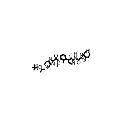 Cc1c(NC(=O)c2nc3c(n2C)CCN(CC(C)O[Si](C)(C)C(C)(C)C)C3)cccc1-c1ccnc(NC(=O)c2nc3c(n2C)CCN(C)C3)c1Cl